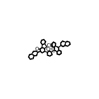 CC1(C)c2ccccc2-c2c1c(-c1cccc(-c3c4ccccc4c(-c4ccc5ccccc5c4)c4ccccc34)c1)cc1c2oc2cc3ccccc3cc21